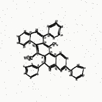 Cc1c2c(-c3ccccc3)nc3cc(-c4ccccc4)ccc3c2c(C)c2c(-c3ccccc3)nc3ccccc3c12